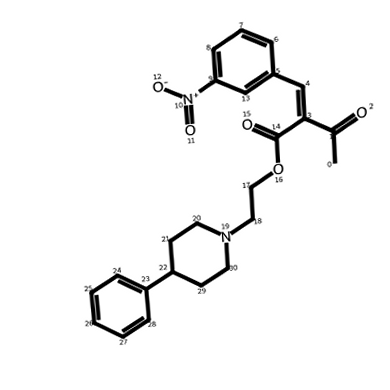 CC(=O)C(=Cc1cccc([N+](=O)[O-])c1)C(=O)OCCN1CCC(c2ccccc2)CC1